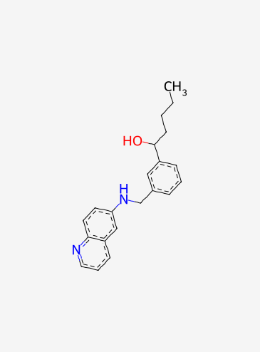 CCCCC(O)c1cccc(CNc2ccc3ncccc3c2)c1